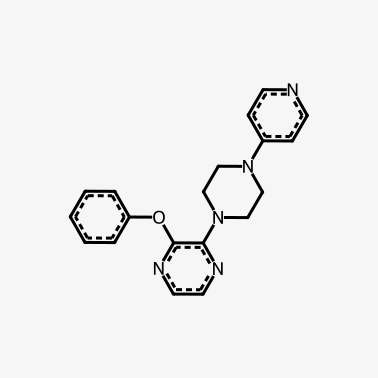 c1ccc(Oc2nccnc2N2CCN(c3ccncc3)CC2)cc1